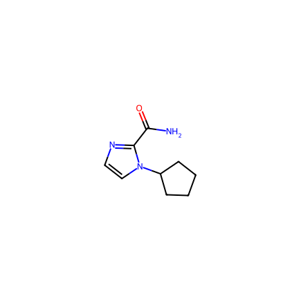 NC(=O)c1nccn1C1CCCC1